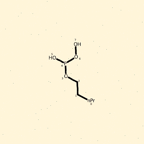 CCCCCOP(O)OO